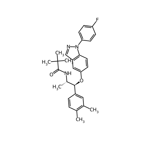 Cc1ccc([C@H](Oc2ccc3c(cnn3-c3ccc(F)cc3)c2)[C@H](C)NC(=O)C(C)(C)C)cc1C